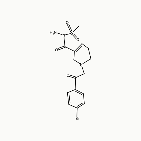 CS(=O)(=O)N(N)C(=O)C1=CCCN(CC(=O)c2ccc(Br)cc2)C1